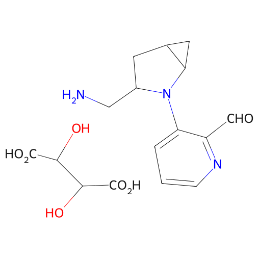 NCC1CC2CC2N1c1cccnc1C=O.O=C(O)C(O)C(O)C(=O)O